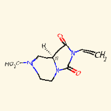 C=CN1C(=O)[C@@H]2CN(C(=O)O)CCN2C1=O